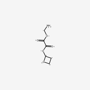 NCOC(=O)C(=O)OC1CCO1